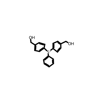 OCc1ccc([S+](c2ccccc2)c2ccc(CO)cc2)cc1